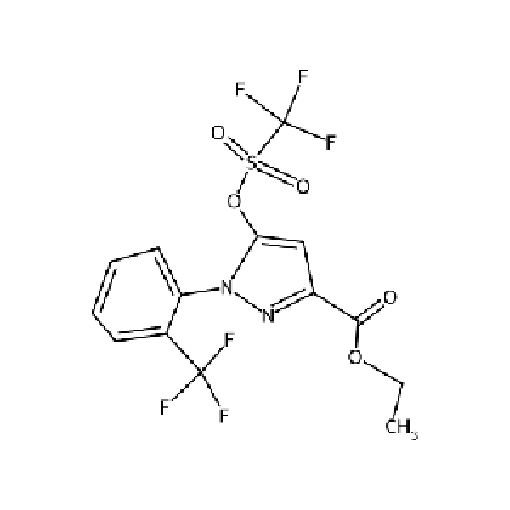 CCOC(=O)c1cc(OS(=O)(=O)C(F)(F)F)n(-c2ccccc2C(F)(F)F)n1